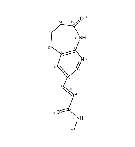 CNC(=O)/C=C/c1cnc2c(c1)CCCC(=O)N2